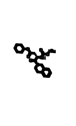 CCCCOC(=O)N[C@@H](CC(=O)OC1CCCCC1)C(=O)N1CCc2ccccc2C1